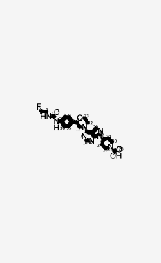 O=C(NCCF)Nc1ccc(C2CN(c3ncnc4c3cnn4C3CCN(C(=O)O)CC3)CCO2)cc1